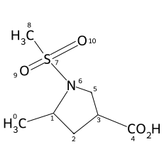 CC1CC(C(=O)O)CN1S(C)(=O)=O